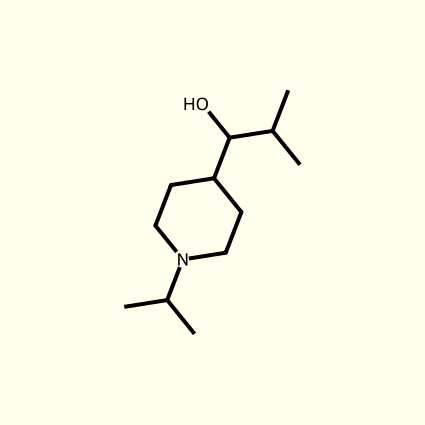 CC(C)C(O)C1CCN(C(C)C)CC1